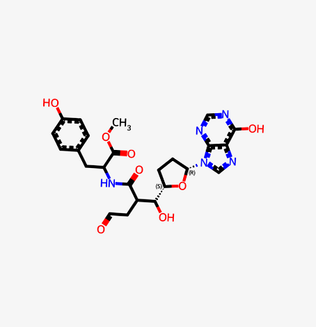 COC(=O)C(Cc1ccc(O)cc1)NC(=O)C(CC=O)C(O)[C@@H]1CC[C@H](n2cnc3c(O)ncnc32)O1